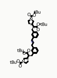 CC(C)(C)OC(=O)[C@@H](Cc1cccc(C/C=C/c2cccc(C[C@H](C(=O)OC(C)(C)C)[C@H]3CCN(C(=O)OC(C)(C)C)C3)c2)c1)[C@@H]1CCN(C(=O)OC(C)(C)C)C1